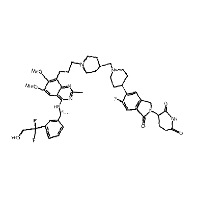 COc1cc2c(N[C@H](C)c3cccc(C(F)(F)CO)c3)nc(C)nc2c(CCCN2CCC(CN3CCC(c4cc5c(cc4F)C(=O)N(C4CCC(=O)NC4=O)C5)CC3)CC2)c1OC